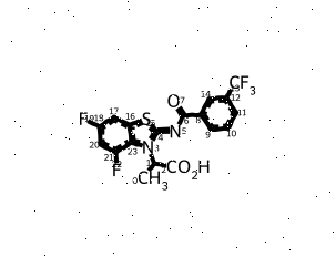 CC(C(=O)O)n1/c(=N/C(=O)c2cccc(C(F)(F)F)c2)sc2cc(F)cc(F)c21